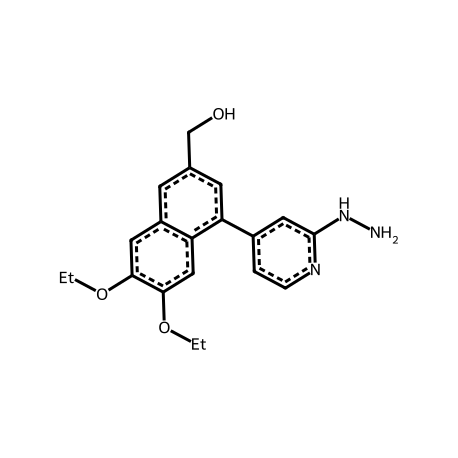 CCOc1cc2cc(CO)cc(-c3ccnc(NN)c3)c2cc1OCC